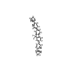 CC1(C)c2cc(-c3ccc(-c4nccs4)nc3)ccc2-c2ccc(-c3ccc(-c4nccs4)nc3)cc21